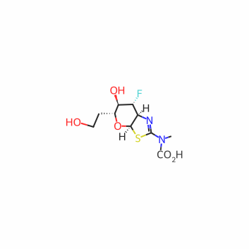 CN(C(=O)O)C1=N[C@@H]2[C@@H](F)[C@H](O)[C@@H](CCO)O[C@@H]2S1